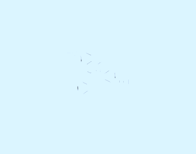 O=C(Oc1ccc(O)cc1)c1ccc(O)cc1C(=O)Oc1ccc(O)cc1